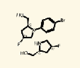 OC[C@@H]1C[C@H](F)CN1.OC[C@@H]1C[C@H](F)CN1c1ccc(Br)cc1